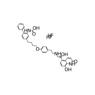 F.F.O=C(O)Nc1cc(CCCCOc2ccc(CCNC[C@@H](O)c3ccc(O)c4[nH]c(=O)ccc34)cc2)ccc1-c1ccccc1